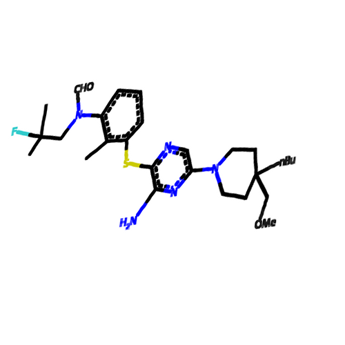 CCCCC1(COC)CCN(c2cnc(Sc3cccc(N(C=O)CC(C)(C)F)c3C)c(N)n2)CC1